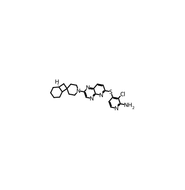 Nc1nccc(Sc2ccc3nc(N4CCC5(CC4)C[C@@H]4CCCCC45)cnc3n2)c1Cl